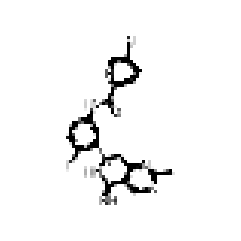 Cc1ncc2c(n1)C[C@@H](c1cc(NC(=O)c3ccc(Cl)cn3)ccc1F)NC2=N